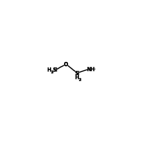 [NH][SiH2]O[SiH3]